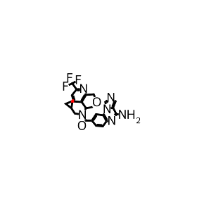 Nc1nc2ccc(C(=O)N(CC3CC3)C3COCc4nc(C(F)(F)F)ccc43)cc2n2cncc12